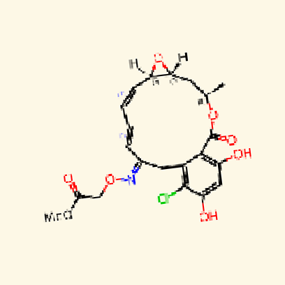 COC(=O)CON=C1/C=C/C=C\[C@H]2O[C@@H]2C[C@@H](C)OC(=O)c2c(O)cc(O)c(Cl)c2C1